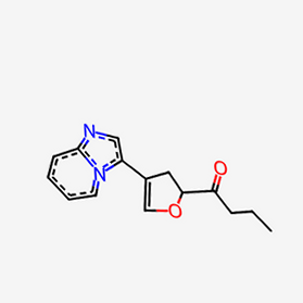 CCCC(=O)C1CC(c2cnc3ccccn23)=CO1